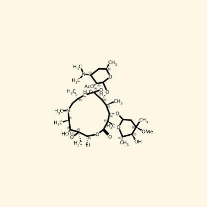 CC[C@H]1OC(=O)[C@H](C)[C@@H](OC2C[C@@](C)(OC)[C@@H](O)[C@H](C)O2)[C@H](C)[C@@H](OC2O[C@H](C)C[C@H](N(C)C)[C@H]2OC(C)=O)[C@](C)(O)C[C@@H](C)CN(C)[C@H](C)[C@@H](O)[C@]1(C)O